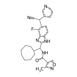 Cc1nocc1C(=O)NC(c1nc2c(F)c(C(C#N)c3cccnc3)ccc2[nH]1)C1CCCCCCC1